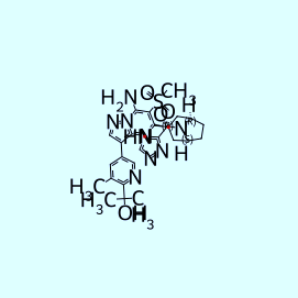 Cc1cc(-c2cnn3c(N)c(S(C)(=O)=O)c([C@H]4C[C@H]5CC[C@@H](C4)N5C(=O)c4nnc[nH]4)nc23)cnc1C(C)(C)O